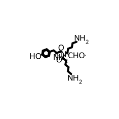 NCCCCCC(=O)N(C(=O)[C@@H](N)Cc1ccc(O)cc1)[C@H]([C]=O)CCCCN